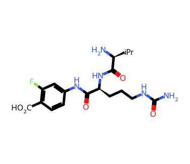 CC(C)[C@H](N)C(=O)N[C@@H](CCCNC(N)=O)C(=O)Nc1ccc(C(=O)O)c(F)c1